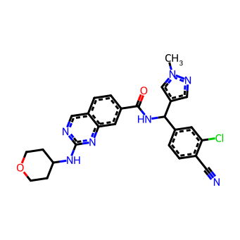 Cn1cc(C(NC(=O)c2ccc3cnc(NC4CCOCC4)nc3c2)c2ccc(C#N)c(Cl)c2)cn1